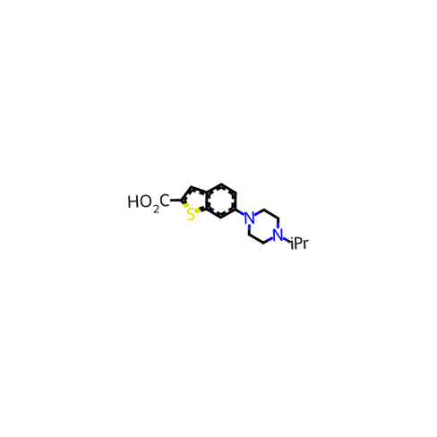 CC(C)N1CCN(c2ccc3cc(C(=O)O)sc3c2)CC1